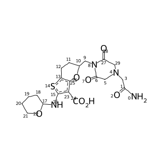 NC(=O)CN1CC(=O)N(CC2CCc3sc(NC4CCCCO4)c(C(=O)O)c3O2)C(=O)C1